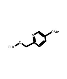 COc1ccc(COC=O)nc1